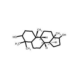 CC1(C)C(O)CC[C@@]2(C)C1CC[C@@H]1[C@H]2CC[C@]2(C)C(O)CC[C@@H]12